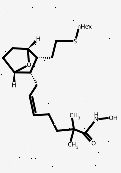 CCCCCCSCC[C@@H]1[C@H](C/C=C\CCC(C)(C)C(=O)NO)[C@@H]2CC[C@H]1O2